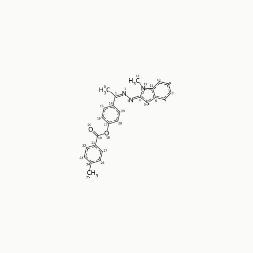 CC(=NN=c1sc2ccccc2n1C)c1ccc(OC(=O)c2ccc(C)cc2)cc1